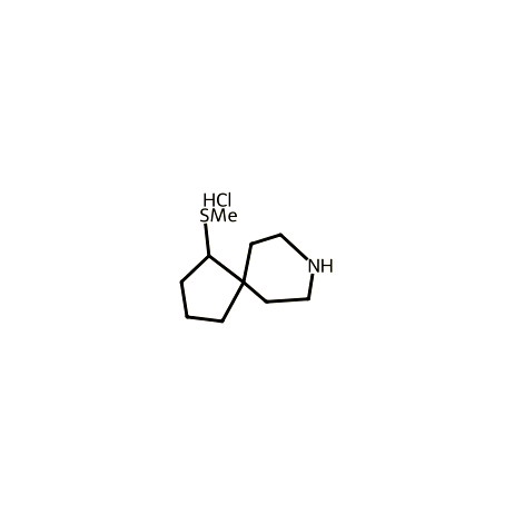 CSC1CCCC12CCNCC2.Cl